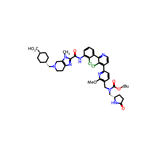 COc1nc(-c2ccnc(-c3cccc(NC(=O)c4nc5c(n4C)CN(C[C@H]4CC[C@H](C(=O)O)CC4)CC5)c3Cl)c2Cl)ccc1CN(C[C@@H]1CCC(=O)N1)C(=O)OC(C)(C)C